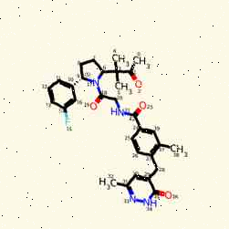 CC(=O)C(C)(C)C1CC[C@@H](c2cccc(F)c2)N1C(=O)CNC(=O)c1ccc(Cc2cc(C)n[nH]c2=O)c(C)c1